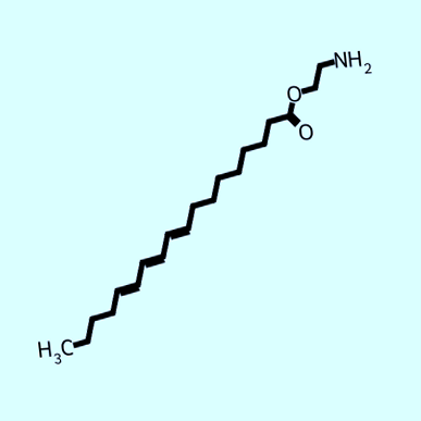 CCCC/C=C/C=C/C=C/CCCCCCCC(=O)OCCN